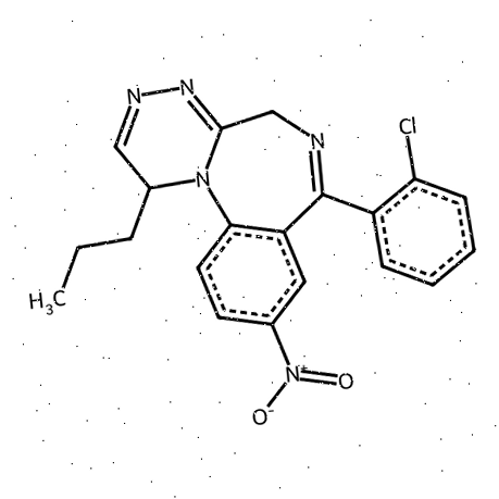 CCCC1C=NN=C2CN=C(c3ccccc3Cl)c3cc([N+](=O)[O-])ccc3N21